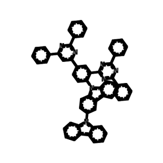 c1ccc(-c2cc(-c3ccc(-n4c5ccccc5c5cc(-n6c7ccccc7c7ccccc76)ccc54)c(-c4nc(-c5ccccc5)nc(-c5ccccc5)n4)c3)nc(-c3ccccc3)n2)cc1